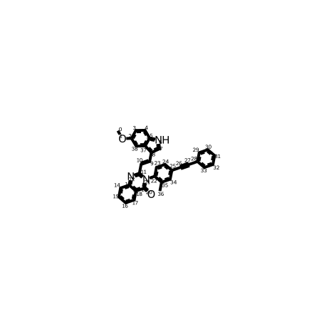 COc1ccc2[nH]cc(C=Cc3nc4ccccc4c(=O)n3-c3ccc(C#Cc4ccccc4)cc3C)c2c1